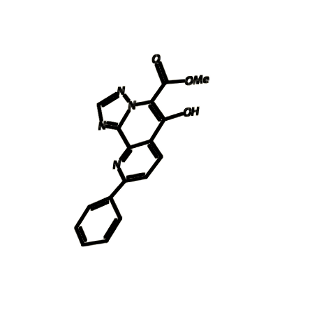 COC(=O)c1c(O)c2ccc(-c3ccccc3)nc2c2ncnn12